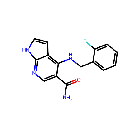 NC(=O)c1cnc2[nH]ccc2c1NCc1ccccc1F